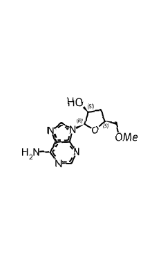 COC[C@@H]1C[C@H](O)[C@H](n2cnc3c(N)ncnc32)O1